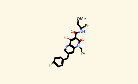 CCC(COC)NC(=O)c1c(O)c2ncc(Cc3ccc(F)cc3)cc2n(CC(C)C)c1=O